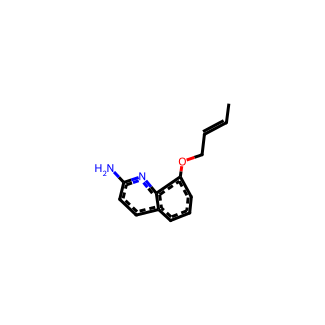 C/C=C/COc1cccc2ccc(N)nc12